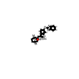 CC(=O)NC1C[C@H]2CC[C@@H](C1)N2CCc1coc2cc(Oc3nc4ccccc4s3)ccc12